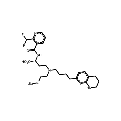 CC(C)(C)OCCN(CCCCc1ccc2c(n1)NCCC2)CC[C@H](NC(=O)c1cccnc1C(F)F)C(=O)O